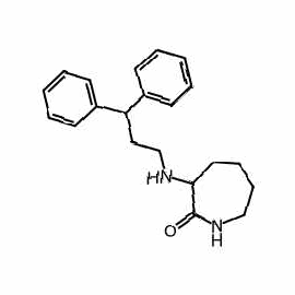 O=C1NCCCCC1NCCC(c1ccccc1)c1ccccc1